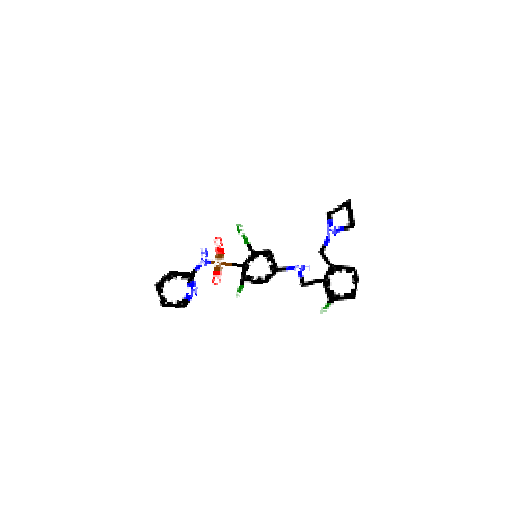 O=S(=O)(Nc1ccccn1)c1c(F)cc(NCc2c(F)cccc2CN2CCC2)cc1F